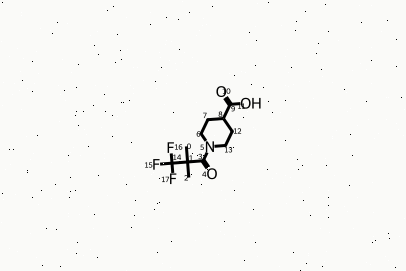 CC(C)(C(=O)N1CCC(C(=O)O)CC1)C(F)(F)F